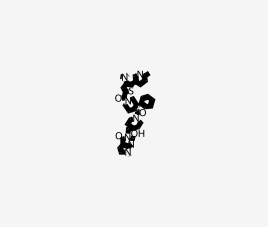 Cc1ccc(-c2sc(C(=O)N3CC[C@@H](C(=O)N4CCC(O)(Cn5cnc6c(ccn6C)c5=O)CC4)[C@H](c4ccccc4)C3)cc2N(C)C)cn1